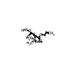 C=CCOC(=O)C(=CC(=O)OCCC)[Si](C)(C)OC